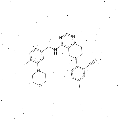 Cc1ccc(N2CCc3ncnc(NCc4ccc(C)c(N5CCOCC5)c4)c3C2)c(C#N)c1